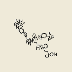 NS(=O)(=O)c1nc2ccc(OCc3cn(C(CCCCNC(=O)CCC(=O)O)C(=O)NCc4ccc(C(F)(F)F)cc4)nn3)cc2s1